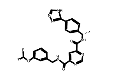 C[C@H](NC(=O)c1cc(C(=O)NCc2cccc(OC(F)F)c2)ncn1)c1ccc(-c2nnc[nH]2)cc1